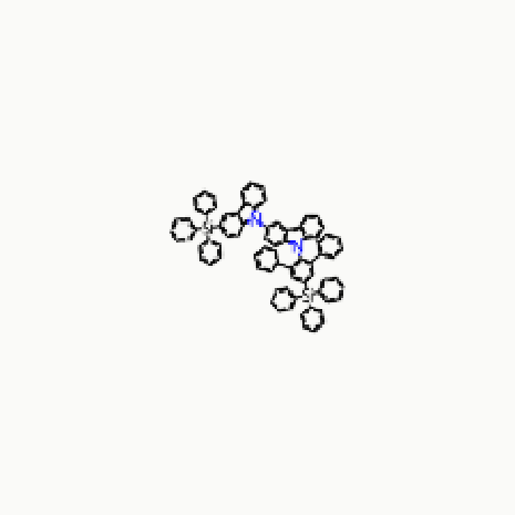 c1ccc(-c2cc([Si](c3ccccc3)(c3ccccc3)c3ccccc3)cc(-c3ccccc3)c2-n2c3ccccc3c3cc(-n4c5ccccc5c5cc([Si](c6ccccc6)(c6ccccc6)c6ccccc6)ccc54)ccc32)cc1